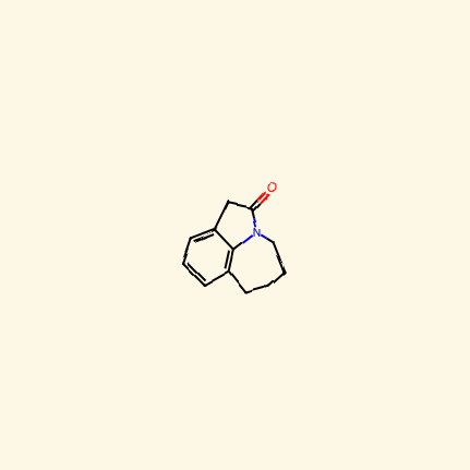 O=C1Cc2cccc3c2N1CCCC3